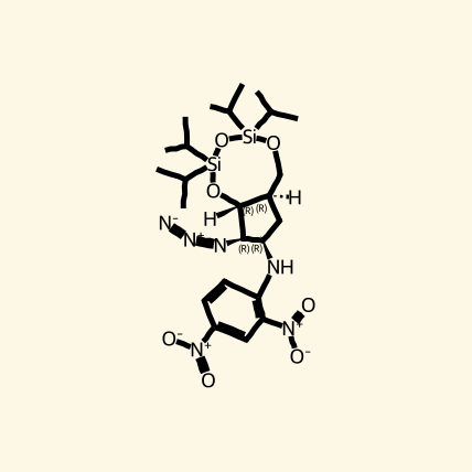 CC(C)[Si]1(C(C)C)OC[C@H]2C[C@@H](Nc3ccc([N+](=O)[O-])cc3[N+](=O)[O-])[C@@H](N=[N+]=[N-])[C@@H]2O[Si](C(C)C)(C(C)C)O1